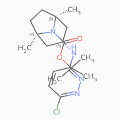 CC(C)(C)OC(=O)N1[C@@]2(C)CC[C@]1(C)C[C@@H](Nc1ccc(Cl)nn1)C2